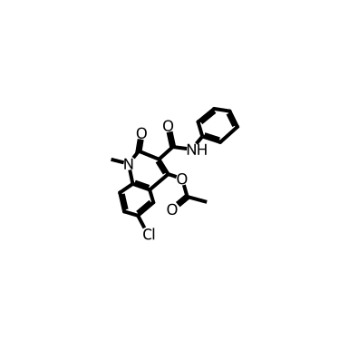 CC(=O)Oc1c(C(=O)Nc2ccccc2)c(=O)n(C)c2ccc(Cl)cc12